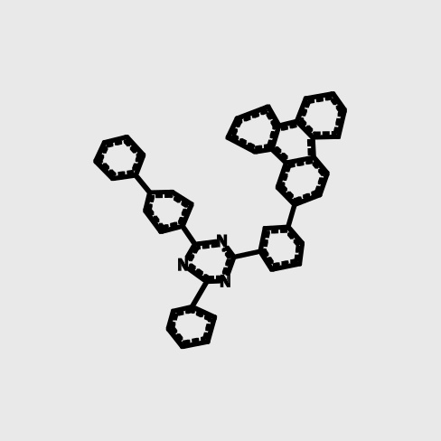 c1ccc(-c2ccc(-c3nc(-c4ccccc4)nc(-c4cccc(-c5ccc6c7ccccc7c7ccccc7c6c5)c4)n3)cc2)cc1